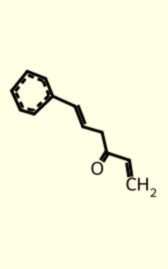 C=CC(=O)C/C=C/c1ccccc1